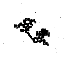 COc1ccc(C(C#N)(CCCCCN2CCc3cc(OC)c(O[Si](C)(C)C(C)(C)C)cc3C2)Sc2ccc(C)cc2)cc1OC